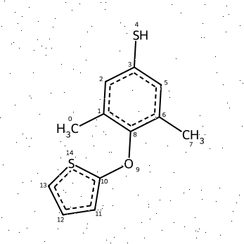 Cc1cc(S)cc(C)c1Oc1cccs1